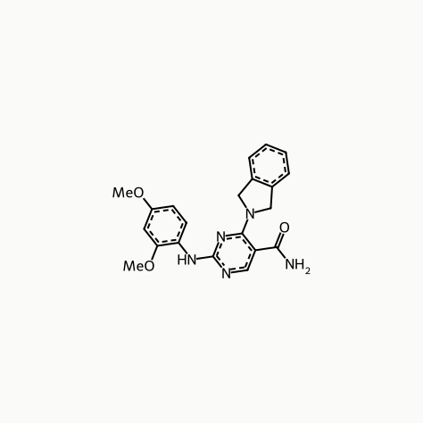 COc1ccc(Nc2ncc(C(N)=O)c(N3Cc4ccccc4C3)n2)c(OC)c1